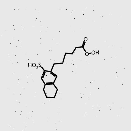 O=C(CCCCCc1cc2c(cc1S(=O)(=O)O)CCCC2)OO